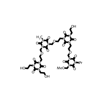 COCn1c(=O)n(COCCn2c(=O)n(CCO)c(=O)n(CCOCn3c(=O)n(C)c(=O)n(COCCn4c(=O)n(CCO)c(=O)n(CCO)c4=O)c3=O)c2=O)c(=O)n(C(C)C)c1=O